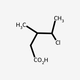 CC(Cl)C(C)CC(=O)O